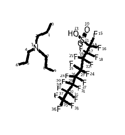 CCCN(CCC)CCC.O=S(=O)(O)C(F)(F)C(F)(F)C(F)(F)C(F)(F)C(F)(F)C(F)(F)C(F)(F)C(F)(F)F